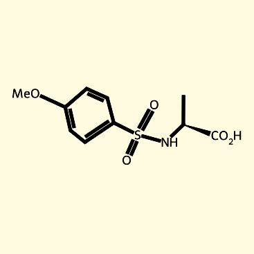 COc1ccc(S(=O)(=O)N[C@@H](C)C(=O)O)cc1